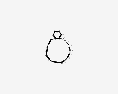 C1=C\C=C/C=C/C=C\c2ccccc2OO\N=N/C=C\C=C/1